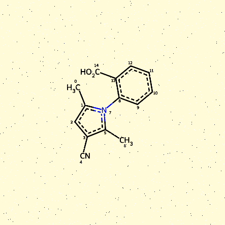 Cc1cc(C#N)c(C)n1-c1ccccc1C(=O)O